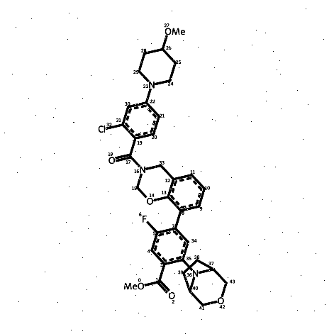 COC(=O)c1cc(F)c(-c2cccc3c2OCN(C(=O)c2ccc(N4CCC(OC)CC4)cc2Cl)C3)cc1N1C2CCC1COC2